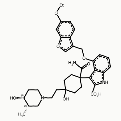 CCOc1ccc2c(COc3cccc4[nH]c(C(=O)O)c(C5(C(N)=O)CCC(O)(CCN6CC[C@H](O)[C@@H](C)C6)CC5)c34)coc2c1